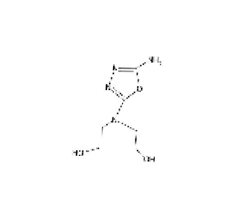 Nc1nnc(N(CCO)CCO)o1